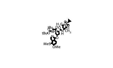 C=CC[C@@](C)(NC(=O)[C@@H]1C[C@@H](Oc2nccc3c(SC)c(OC)ccc23)CN1C(=O)[C@@H](NC(=O)OC(C)(C)C)C(C)(C)C)C(=O)NS(=O)(=O)C1CC1